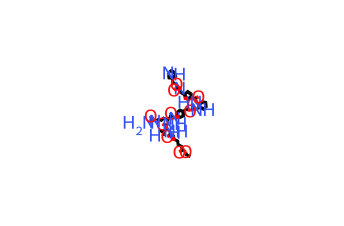 CCOC(=O)CCCCCC(=O)N[C@H](C(=O)N[C@@H](CCCNC(N)=O)C(=O)Nc1ccc(COC(=O)Nc2ccccc2NC(=O)c2ccc(CNC(=O)OCc3cccnc3)cc2)cc1)C(C)C